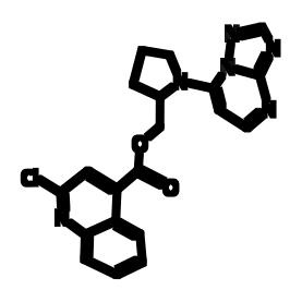 O=C(OCC1CCCN1c1ccnc2ncnn12)c1cc(Cl)nc2ccccc12